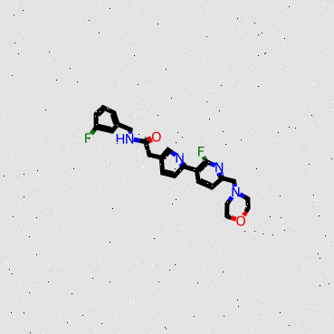 O=C(Cc1ccc(-c2ccc(CN3CCOCC3)nc2F)nc1)NCc1cccc(F)c1